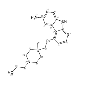 CC1(COc2ccnc3[nH]c4cnc(N)cc4c23)CCN(CCO)CC1